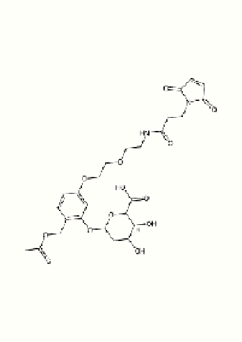 CC(=O)OCc1ccc(OCCOCCNC(=O)CCN2C(=O)C=CC2=O)cc1OC1CC(O)[C@H](O)C(C(=O)O)O1